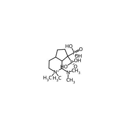 CN(C)C1C2C(CCC2(P(=O)(O)O)P(=O)(O)O)CC[N+]1(C)C